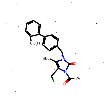 CCCCc1c(CF)n(C(=O)CCC)c(=O)n1Cc1ccc(-c2ccccc2C(=O)O)cc1